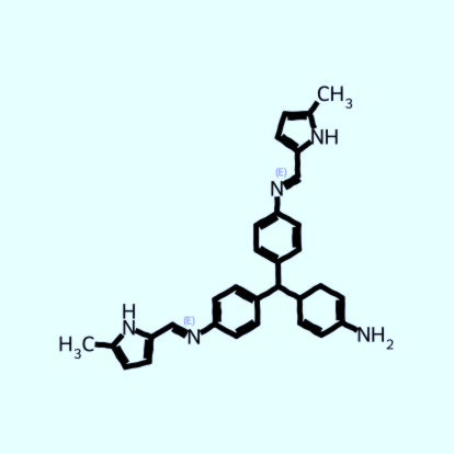 Cc1ccc(/C=N/c2ccc(C(c3ccc(/N=C/c4ccc(C)[nH]4)cc3)C3C=CC(N)=CC3)cc2)[nH]1